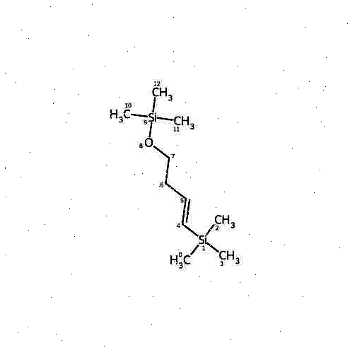 C[Si](C)(C)C=CCCO[Si](C)(C)C